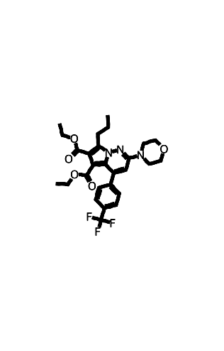 CCCc1c(C(=O)OCC)c(C(=O)OCC)c2c(-c3ccc(C(F)(F)F)cc3)cc(N3CCOCC3)nn12